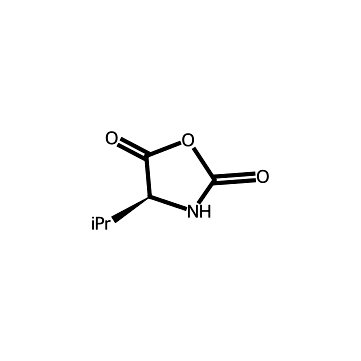 CC(C)[C@@H]1NC(=O)OC1=O